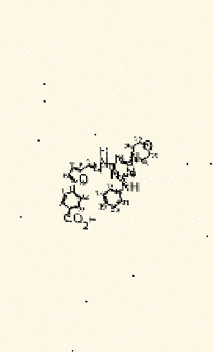 O=C(O)c1ccc(-c2ccc(C=NNc3nc(Nc4ccccc4)nc(N4CCOCC4)n3)o2)cc1